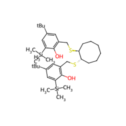 CC(C)(C)c1cc(CS[C@H]2CCCCCC[C@@H]2SCc2cc(C(C)(C)C)cc([Si](C)(C)C)c2O)c(O)c([Si](C)(C)C)c1